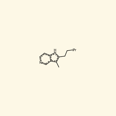 Cc1c(CCC(C)C)[nH]c2ccncc12